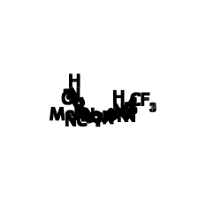 C=CC(=O)Nc1ccc(C(Cn2c(C#N)cc3c(C)c(CN4CCC(Nc5ncnc6sc(CC(F)(F)F)cc56)CC4)ccc32)NC)cc1